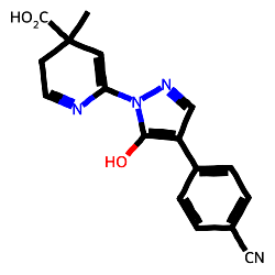 CC1(C(=O)O)C=C(n2ncc(-c3ccc(C#N)cc3)c2O)N=CC1